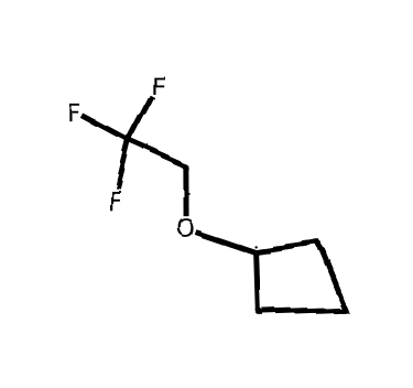 FC(F)(F)CO[C]1CCC1